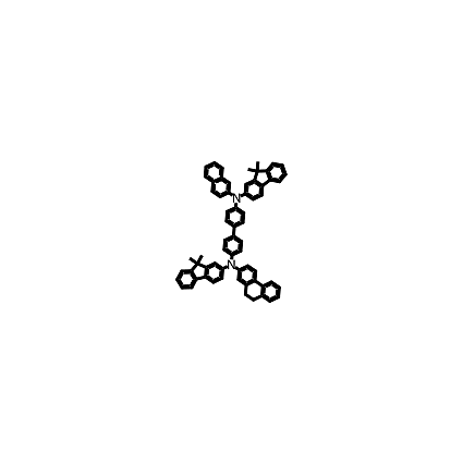 CC1(C)c2ccccc2-c2ccc(N(c3ccc(-c4ccc(N(c5ccc6c(c5)C(C)(C)c5ccccc5-6)c5ccc6ccccc6c5)cc4)cc3)c3ccc4c(c3)CCc3ccccc3-4)cc21